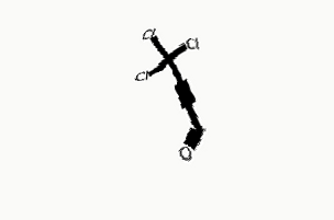 O=[C]C#CC(Cl)(Cl)Cl